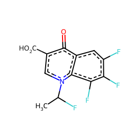 CC(F)n1cc(C(=O)O)c(=O)c2cc(F)c(F)c(F)c21